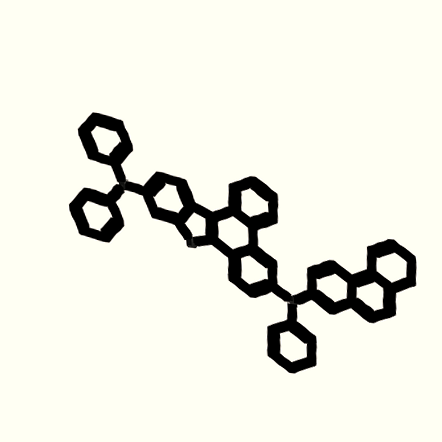 C1=CC(N(c2ccc3c4c(ccc3c2)CCC=C4)c2ccc3c(c2)c2ccccc2c2c4ccc(N(c5ccccc5)c5ccccc5)cc4oc32)=CCC1